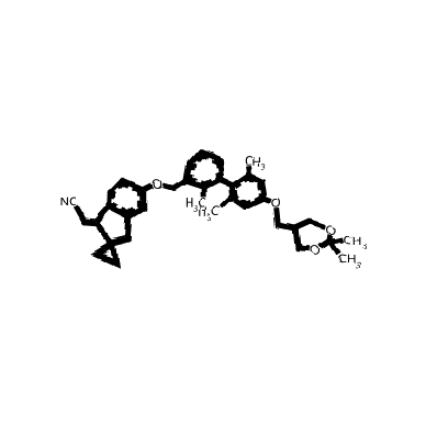 Cc1cc(OCC2COC(C)(C)OC2)cc(C)c1-c1cccc(COc2ccc3c(c2)CC2(CC2)C3CC#N)c1C